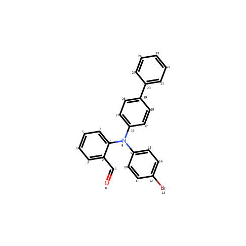 O=Cc1ccccc1N(c1ccc(Br)cc1)c1ccc(-c2ccccc2)cc1